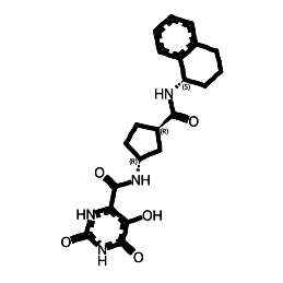 O=C(N[C@@H]1CC[C@@H](C(=O)N[C@H]2CCCc3ccccc32)C1)c1[nH]c(=O)[nH]c(=O)c1O